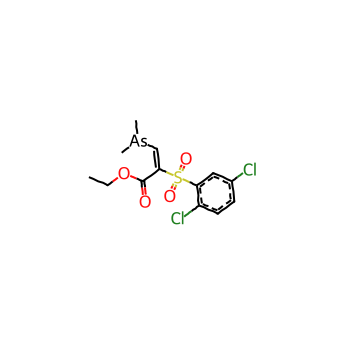 CCOC(=O)C(=C[As](C)C)S(=O)(=O)c1cc(Cl)ccc1Cl